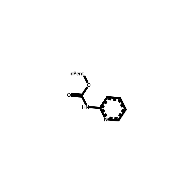 CCCCCOC(=O)Nc1ccccn1